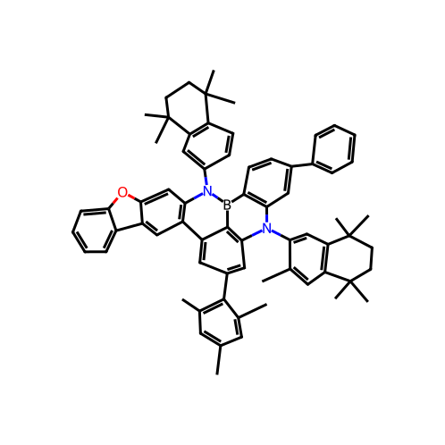 Cc1cc(C)c(-c2cc3c4c(c2)N(c2cc5c(cc2C)C(C)(C)CCC5(C)C)c2cc(-c5ccccc5)ccc2B4N(c2ccc4c(c2)C(C)(C)CCC4(C)C)c2cc4oc5ccccc5c4cc2-3)c(C)c1